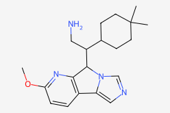 COc1ccc2c(n1)C(C(CN)C1CCC(C)(C)CC1)n1cncc1-2